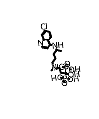 CC(CCCN(C)CCC(O)(P(=O)(O)O)P(=O)(O)O)Nc1ccnc2cc(Cl)ccc12